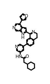 O=C(CC1CCCCC1)Nc1cncc(-c2ccc3c(c2)C(c2cc4c(-c5ccoc5)cncc4[nH]2)=NCC3)c1